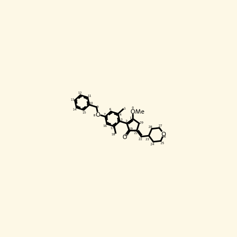 COC1=C(c2c(C)cc(OCc3ccccc3)cc2C)C(=O)C(=CC2CCOCC2)C1